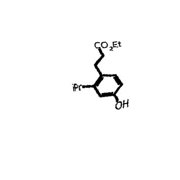 CCOC(=O)CCc1ccc(O)cc1C(C)C